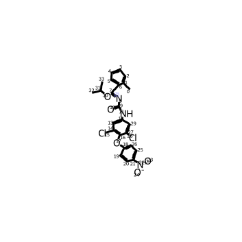 Cc1ccccc1/C(=N/C(=O)Nc1cc(Cl)c(Oc2ccc([N+](=O)[O-])cc2)c(Cl)c1)OC(C)C